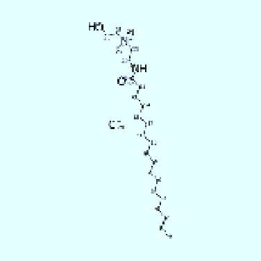 CCCCCCCCCCCCCCCCCC(=O)NCC[N+](C)(C)CCO.[Cl-]